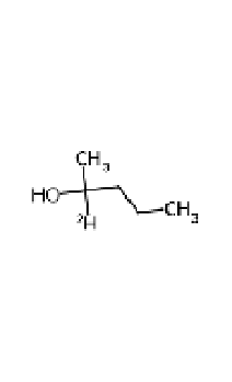 [2H]C(C)(O)CCC